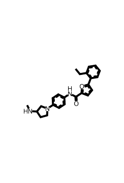 CCc1ccccc1-c1ccc(C(=O)Nc2ccc(N3CCC(NC)C3)cc2)o1